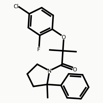 CC(C)(Oc1ccc(Cl)cc1F)C(=O)N1CCCC1(C)c1ccccc1